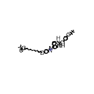 C=C(C)C(=O)OCCCCCCCCCCOc1ccc(/N=N/c2ccc3c4c(cccc24)NC(C)(COc2ccc(OCC(C)(C)C(C)(C)C)cc2)N3)cc1